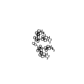 C=C(C)C(=O)OCCNC(=O)N(CCC1CC2C3CCC(CCN(C(=O)CCOC(=O)C(=C)C)C(=O)NCCOC(=O)C(=C)C)(C3)C2C1)C(=O)CCOC(=O)C(=C)C